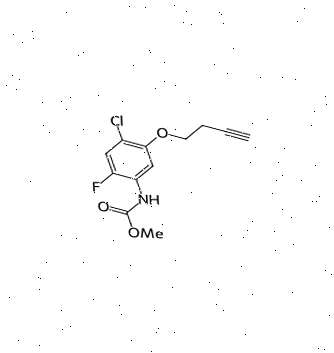 C#CCCOc1cc(NC(=O)OC)c(F)cc1Cl